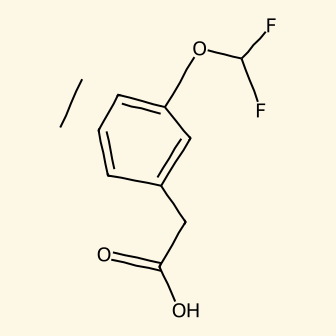 CC.O=C(O)Cc1cccc(OC(F)F)c1